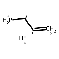 C=CCP.F